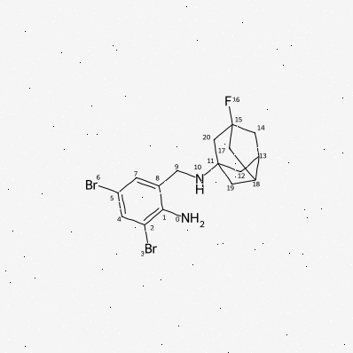 Nc1c(Br)cc(Br)cc1CNC12CC3CC(F)(CC3C1)C2